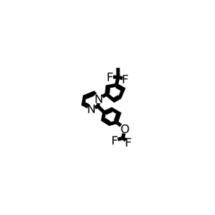 CC(F)(F)c1cccc(N2C=CC=NC2c2ccc(OC(F)F)cc2)c1